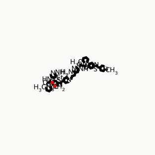 C=C(/C=C\c1sc(C2CCN(CCCc3cc(NC(=O)C(=O)N4[C@@H](c5ccc6sc(C7CCN(C)CC7)nc6c5)CCC[C@@H]4C)cnc3N)CC2)nc1C)[C@@H]1CCC[C@H](C)N1C(=O)C(=O)Nc1cnc(N)c(CC)c1